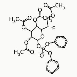 CC(=O)OC[C@H](F)C1OC(OP(=O)(Oc2ccccc2)Oc2ccccc2)C(OC(C)=O)C(OC(C)=O)C1OC(C)=O